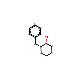 O[C@H]1CCCC[C@H]1Cc1ccccc1